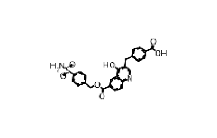 NS(=O)(=O)c1ccc(COC(=O)c2ccc3ncc(Cc4ccc(C(=O)O)cc4)c(O)c3c2)cc1